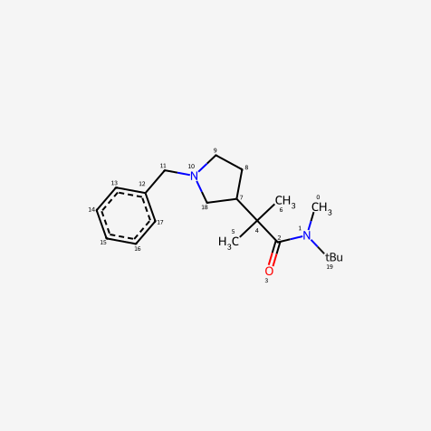 CN(C(=O)C(C)(C)C1CCN(Cc2ccccc2)C1)C(C)(C)C